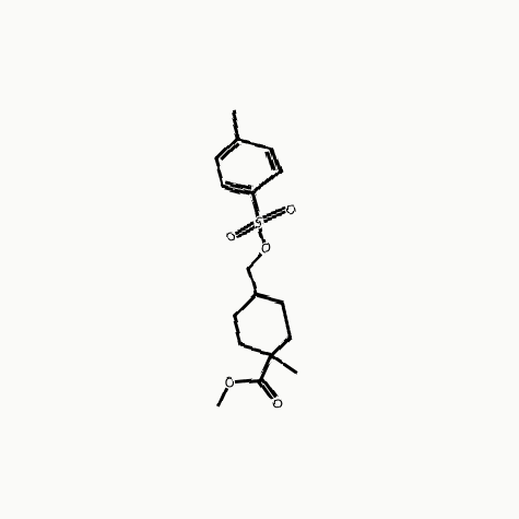 COC(=O)C1(C)CCC(COS(=O)(=O)c2ccc(C)cc2)CC1